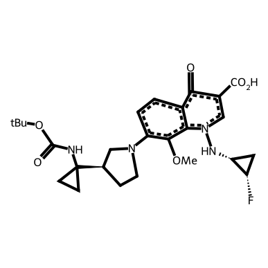 COc1c(N2CC[C@@H](C3(NC(=O)OC(C)(C)C)CC3)C2)ccc2c(=O)c(C(=O)O)cn(N[C@@H]3C[C@@H]3F)c12